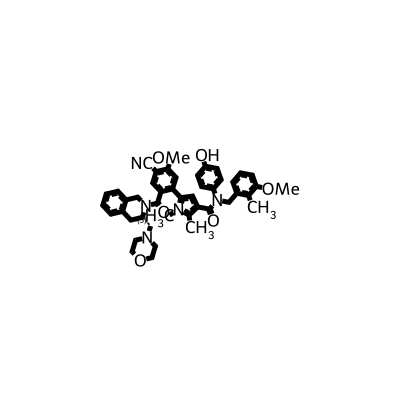 COc1cc(-c2cc(C(=O)N(Cc3cccc(OC)c3C)c3ccc(O)cc3)c(C)n2C)c(C(=O)N2Cc3ccccc3C[C@H]2CN2CCOCC2)cc1C#N